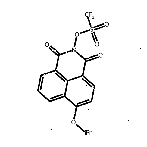 CC(C)Oc1ccc2c3c(cccc13)C(=O)N(OS(=O)(=O)C(F)(F)F)C2=O